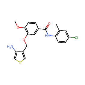 COc1ccc(C(=O)Nc2ccc(Cl)cc2C)cc1OCc1cscc1N